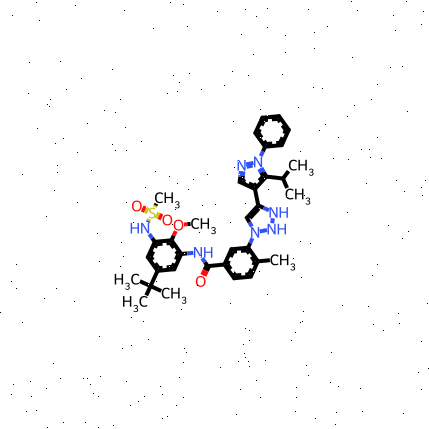 COc1c(NC(=O)c2ccc(C)c(N3C=C(c4cnn(-c5ccccc5)c4C(C)C)NN3)c2)cc(C(C)(C)C)cc1NS(C)(=O)=O